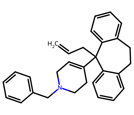 C=CCC1(C2=CCN(Cc3ccccc3)CC2)c2ccccc2CCc2ccccc21